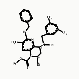 CC[C@@H]1C[C@H](N(C#N)Cc2cc(C(F)(F)F)cc(C(F)(F)F)c2)c2nc(NCc3ccccc3)c(C)cc2N1C(=O)OC(C)C